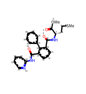 COC(=O)[C@H](CCSC)NC(=O)c1cccc(C(=O)Nc2ccccn2)c1-c1ccccc1